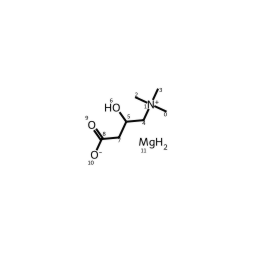 C[N+](C)(C)CC(O)CC(=O)[O-].[MgH2]